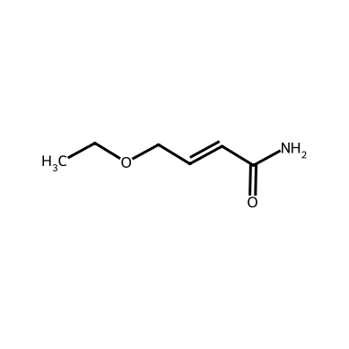 CCOCC=CC(N)=O